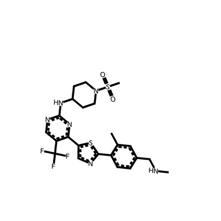 CNCc1ccc(-c2ncc(-c3nc(NC4CCN(S(C)(=O)=O)CC4)ncc3C(F)(F)F)s2)c(C)c1